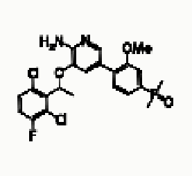 COc1cc(P(C)(C)=O)ccc1-c1cnc(N)c(OC(C)c2c(Cl)ccc(F)c2Cl)c1